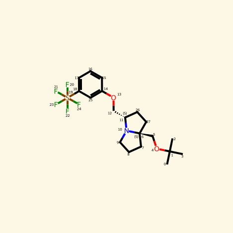 CC(C)(C)OC[C@@]12CCCN1[C@H](COc1cccc(S(F)(F)(F)(F)F)c1)CC2